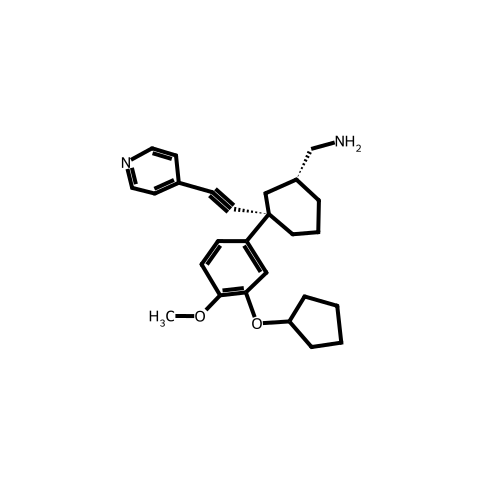 COc1ccc([C@]2(C#Cc3ccncc3)CCC[C@@H](CN)C2)cc1OC1CCCC1